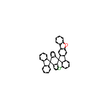 Clc1cccc2c1C1(c3cc4c(cc3-2)oc2ccccc24)c2ccccc2C2(c3ccccc3-c3ccccc32)c2ccccc21